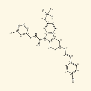 O=C(NCc1ccnc(F)c1)n1c2c(c3ccc(OC(F)(F)F)cc31)CN(C/C=C/c1ccc(Cl)cc1)CC2